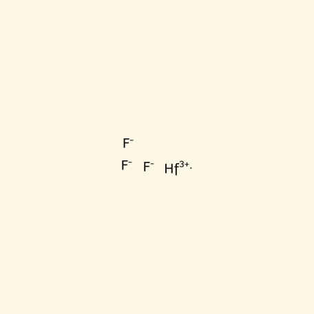 [F-].[F-].[F-].[Hf+3]